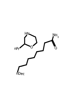 CCCC1CNCCO1.CCCCCCCCCCCCCCCCCC(N)=O